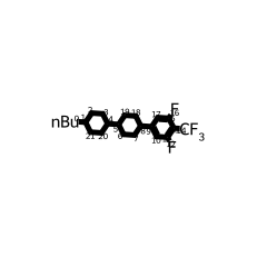 CCCCC1CCC(C2CCC(c3cc(F)c(C(F)(F)F)c(F)c3)CC2)CC1